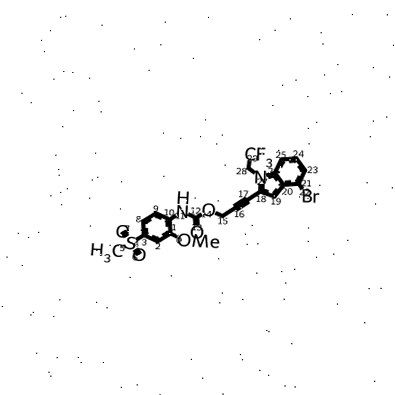 COc1cc(S(C)(=O)=O)ccc1NC(=O)OCC#Cc1cc2c(Br)cccc2n1CC(F)(F)F